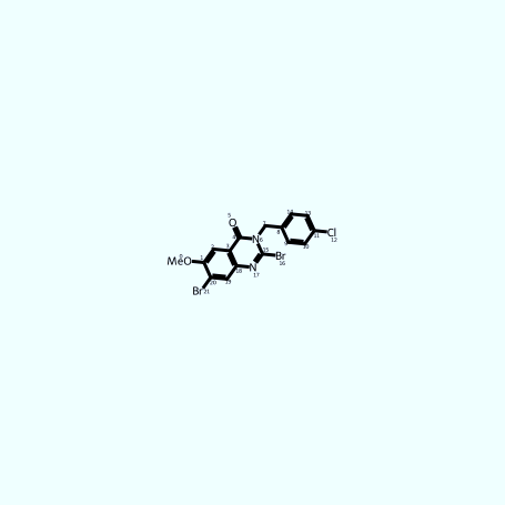 COc1cc2c(=O)n(Cc3ccc(Cl)cc3)c(Br)nc2cc1Br